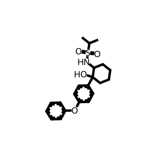 CC(C)S(=O)(=O)NC1CCCCC1(O)c1ccc(Oc2ccccc2)cc1